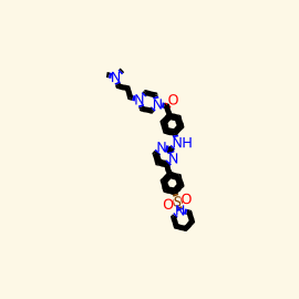 CN(C)CCCN1CCN(C(=O)c2ccc(Nc3nccc(-c4ccc(S(=O)(=O)N5CCCCC5)cc4)n3)cc2)CC1